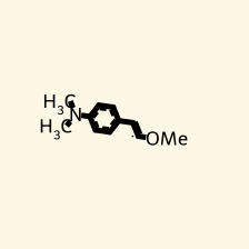 CO[C]=Cc1ccc(N(C)C)cc1